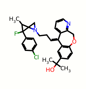 CC1C(F)(c2ccc(Cl)cc2)C12CN2CC/C=C1/c2cc(C(C)(C)O)ccc2OCc2ncccc21